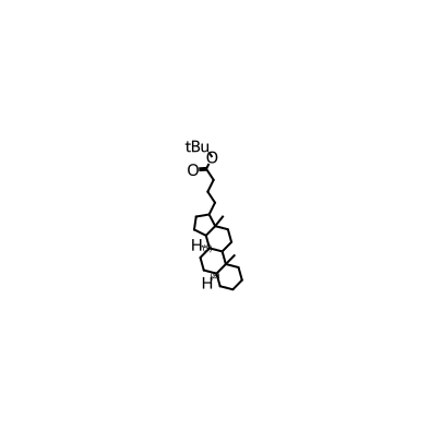 CC(C)(C)OC(=O)CCCC1CCC2[C@@H]3CC[C@@H]4CCCCC4(C)C3CCC12C